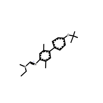 CCN(C)/C=N/c1cc(C)c(-c2ccc(OC(C)(C)C)cc2)cc1C